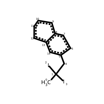 CC(I)(I)Cc1ccc2ccccc2c1